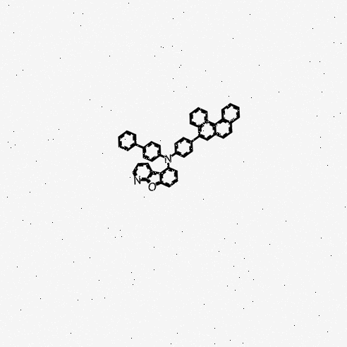 c1ccc(-c2ccc(N(c3ccc(-c4cc5ccc6ccccc6c5c5ccccc45)cc3)c3cccc4oc5ncccc5c34)cc2)cc1